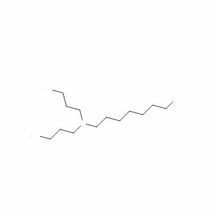 Br.CCCCCCCCP(CCCC)CCCC